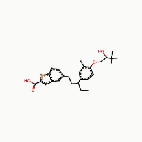 CCC(CCc1ccc2sc(C(=O)O)cc2c1)c1ccc(OCC(O)C(C)(C)C)c(C)c1